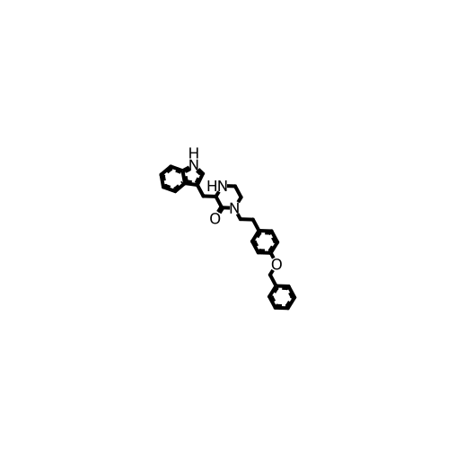 O=C1C(Cc2c[nH]c3ccccc23)NCCN1CCc1ccc(OCc2ccccc2)cc1